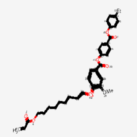 C=CC(=O)OCCCCCCCCCOc1ccc(C(=O)Oc2ccc(C(=O)Oc3ccc(CC)cc3)cc2)cc1OC